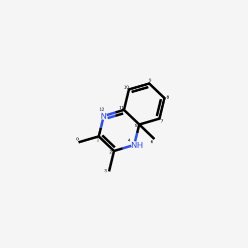 CC1=C(C)NC2(C)C=CC=CC2=N1